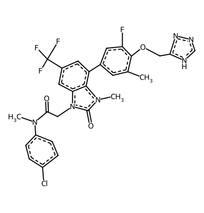 Cc1cc(-c2cc(C(F)(F)F)cc3c2n(C)c(=O)n3CC(=O)N(C)c2ccc(Cl)cc2)cc(F)c1OCc1nnc[nH]1